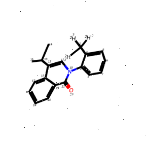 [2H]C([2H])([2H])c1ccccc1-n1cc(C(C)C)c2ccccc2c1=O